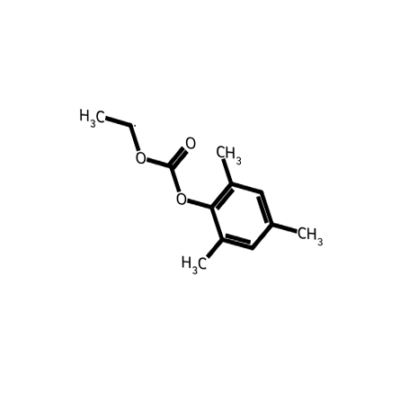 C[CH]OC(=O)Oc1c(C)cc(C)cc1C